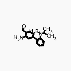 BN(c1ccccc1-c1ccc(C=O)c(N)c1)C(C)C